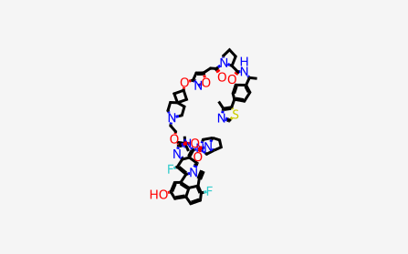 C#Cc1c(F)ccc2cc(O)cc(-c3ncc4c(N5CC6CCC(C5)N6C(=O)OC(C)(C)C)nc(OCCN5CCC6(CC5)CC(Oc5cc(CC(=O)N7CCCC7C(=O)NC(C)c7ccc(-c8scnc8C)cc7)on5)C6)nc4c3F)c12